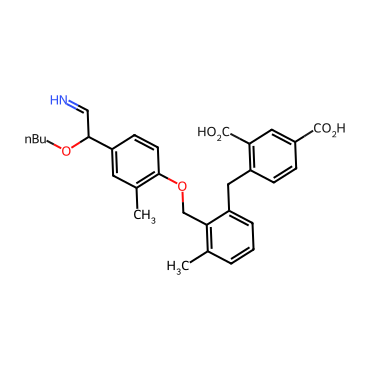 CCCCOC(C=N)c1ccc(OCc2c(C)cccc2Cc2ccc(C(=O)O)cc2C(=O)O)c(C)c1